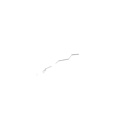 C=C[CH]CCCO